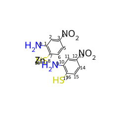 Nc1cc([N+](=O)[O-])ccc1S.Nc1cc([N+](=O)[O-])ccc1S.[Zn]